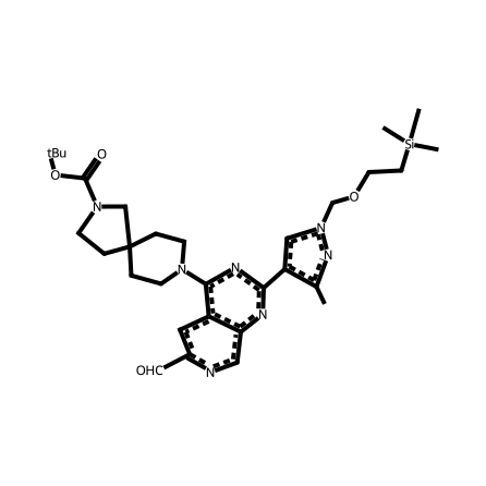 Cc1nn(COCC[Si](C)(C)C)cc1-c1nc(N2CCC3(CCN(C(=O)OC(C)(C)C)C3)CC2)c2cc(C=O)ncc2n1